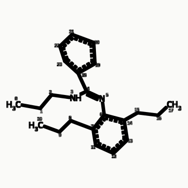 CCCN/C(=N\c1c(CCC)cccc1CCC)c1ccccc1